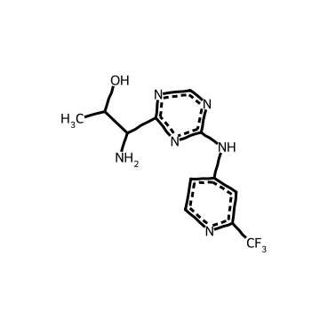 CC(O)C(N)c1ncnc(Nc2ccnc(C(F)(F)F)c2)n1